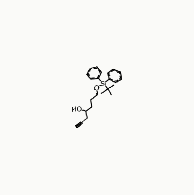 C#CCC(O)CCCO[Si](c1ccccc1)(c1ccccc1)C(C)(C)C